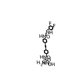 NC[C@H](NC(=O)c1ccc(C#Cc2ccc(NC(=O)CNCc3ccc(F)c(F)c3)cc2)cc1)C(=O)NO